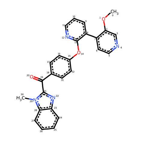 COc1cnccc1-c1cccnc1Oc1ccc(C(=O)c2nc3ccccc3n2C)cc1